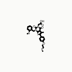 CSCCOc1ccc(-c2sc3c(c2C)c(=O)n(CC(=O)O)c(=O)n3Cc2ccccc2SC)cc1